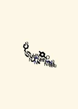 C=C/N=C1/C=NC(N2CCN(CC3CCN(C)CC3)CC2)=N/C1=C(/N)Nc1cc(C(=O)N/C(=C/C(=N\C)C(C)(C)C)NC)ccc1C